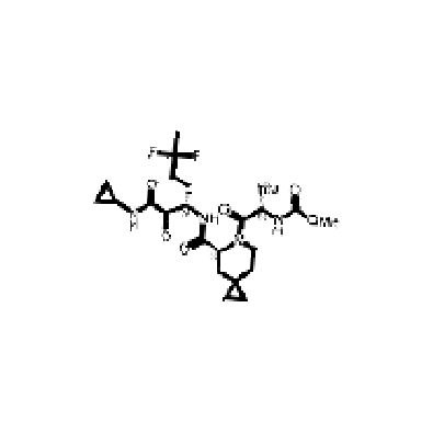 COC(=O)N[C@H](C(=O)N1CCC2(CC2)C[C@H]1C(=O)N[C@@H](CCC(C)(F)F)C(=O)C(=O)NC1CC1)C(C)(C)C